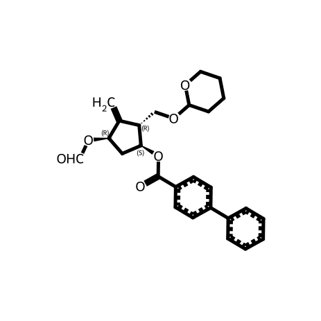 C=C1[C@H](OC=O)C[C@H](OC(=O)c2ccc(-c3ccccc3)cc2)[C@H]1COC1CCCCO1